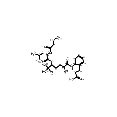 CNCC(=O)N[C@@H](CC(C)C)C(=O)NC(CCC(O)C(=O)Nc1ccccc1CCC(=O)O)C(O)(O)O